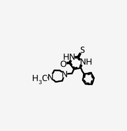 CN1CCN(Cc2c(-c3ccccc3)[nH]c(=S)[nH]c2=O)CC1